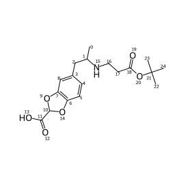 CC(Cc1ccc2c(c1)OC(C(=O)O)O2)NCCC(=O)OC(C)(C)C